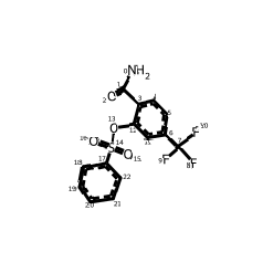 NC(=O)c1ccc(C(F)(F)F)cc1OS(=O)(=O)c1ccccc1